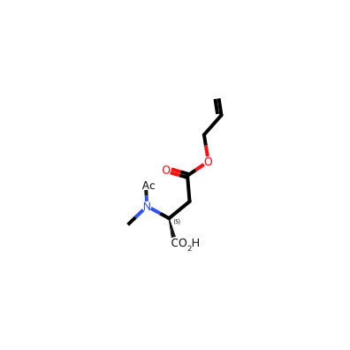 C=CCOC(=O)C[C@@H](C(=O)O)N(C)C(C)=O